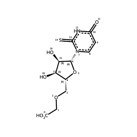 O=C(O)COC[C@H]1O[C@@H](n2ccc(=O)[nH]c2=S)[C@H](O)[C@@H]1O